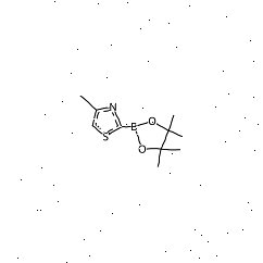 Cc1csc(B2OC(C)(C)C(C)(C)O2)n1